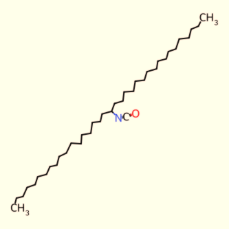 CCCCCCCCCCCCCCCCCCC(CCCCCCCCCCCCCCCCC)N=C=O